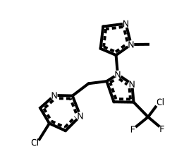 Cn1nccc1-n1nc(C(F)(F)Cl)cc1Cc1ncc(Cl)cn1